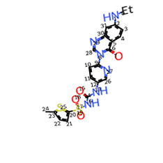 CCNc1ccc2c(=O)n(-c3ccc(NC(=O)NS(=O)(=O)c4ccc(C)s4)cn3)cnc2c1